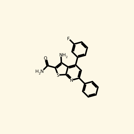 NC(=O)c1sc2nc(-c3ccccc3)cc(-c3cccc(F)c3)c2c1N